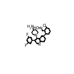 NC1CCN(c2c(-c3cc(F)cc(F)c3)cnc3ccc(-c4cccc(Cl)c4C=NO)cc23)CC1